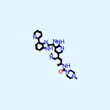 C=C(/C=C(\C=N/C)c1cnc2[nH]nc(-c3nc4c(-c5ccccn5)cccc4[nH]3)c2c1)NC(=O)N1CCN(C)CC1